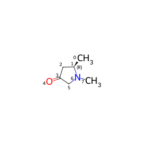 C[C@@H]1CC(=O)CN1C